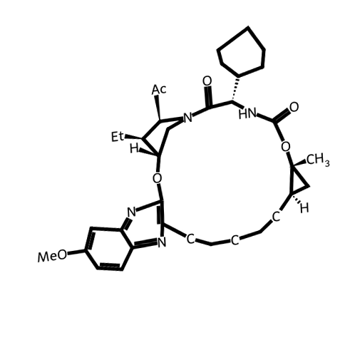 CC[C@@H]1[C@@H]2CN(C(=O)[C@H](C3CCCCC3)NC(=O)O[C@]3(C)C[C@H]3CCCCCc3nc4ccc(OC)cc4nc3O2)[C@@H]1C(C)=O